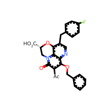 CC(=O)c1c(OCc2ccccc2)c2ncc(Cc3ccc(F)cc3)c3c2n(c1=O)C[C@H](C(=O)O)O3